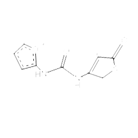 O=C(NC1=CC(=O)SC1)Nc1ccco1